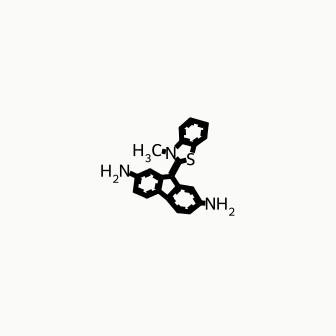 CN1C(=C2c3cc(N)ccc3-c3ccc(N)cc32)Sc2ccccc21